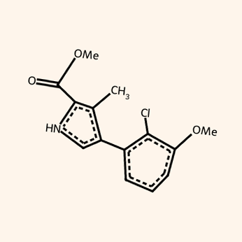 COC(=O)c1[nH]cc(-c2cccc(OC)c2Cl)c1C